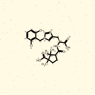 CC1(C(=O)O)CCC(C(=O)N[C@@H](Cc2cn(Cc3c(Cl)cccc3Cl)cn2)C(=O)O)C1(C)C